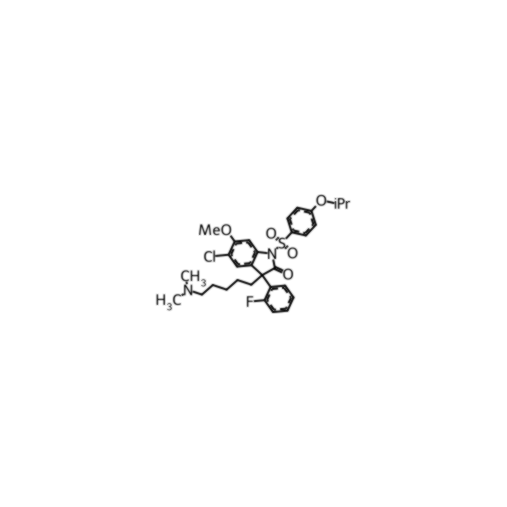 COc1cc2c(cc1Cl)C(CCCCCN(C)C)(c1ccccc1F)C(=O)N2S(=O)(=O)c1ccc(OC(C)C)cc1